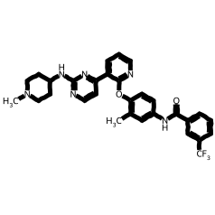 Cc1cc(NC(=O)c2cccc(C(F)(F)F)c2)ccc1Oc1ncccc1-c1ccnc(NC2CCN(C)CC2)n1